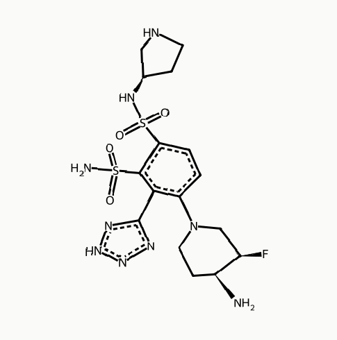 N[C@H]1CCN(c2ccc(S(=O)(=O)N[C@@H]3CCNC3)c(S(N)(=O)=O)c2-c2nn[nH]n2)C[C@H]1F